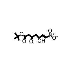 CC(C)(C)OC(=O)CC(=O)CC(O)C=C[N+](=O)[O-]